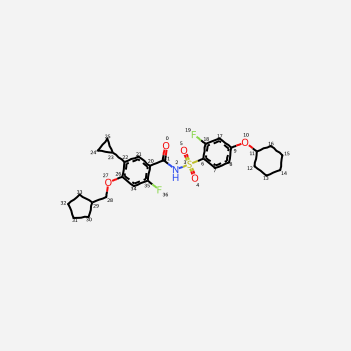 O=C(NS(=O)(=O)c1ccc(OC2CCCCC2)cc1F)c1cc(C2CC2)c(OCC2CCCC2)cc1F